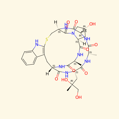 CC[C@H]1NC(=O)[C@H](C)NC(=O)[C@H](C[C@@](C)(O)CO)NC(=O)[C@@H]2Cc3c([nH]c4ccccc34)SC[C@@H](NC1=O)C(=O)N1C[C@H](O)C[C@H]1C(=O)N[C@@H](C)C(=O)N2